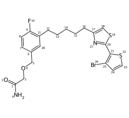 NC(=O)COCc1ccc(F)c(CCCCCc2csc(-c3sccc3Br)n2)c1